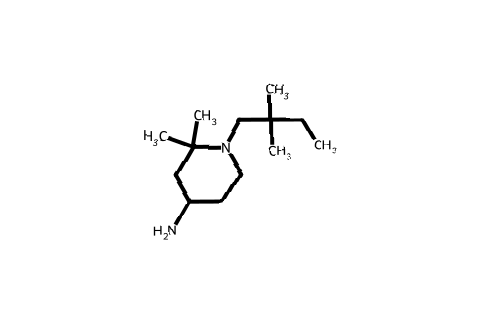 CCC(C)(C)CN1CCC(N)CC1(C)C